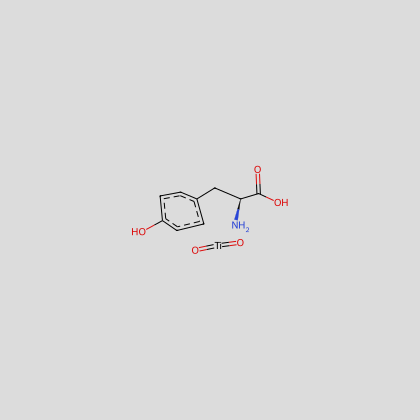 N[C@@H](Cc1ccc(O)cc1)C(=O)O.[O]=[Ti]=[O]